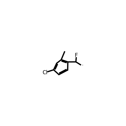 [CH2]C(F)c1ccc(Cl)cc1C